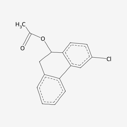 CC(=O)OC1Cc2ccccc2-c2cc(Cl)ccc21